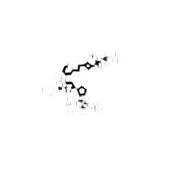 CC(C)(C)OC(=O)NC1CC(CCc2cc(Nc3cc([C@H]4CC[C@@H](O[Si](C)(C)C(C)(C)C)C4)nn3C(C)(C)C)ccn2)C1